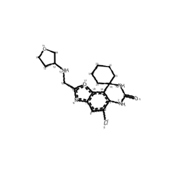 O=C1Nc2c(Cl)cc3nc(CNC4CCOC4)oc3c2C2(CCCCC2)N1